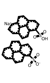 O=S(=O)(O)c1ccc2ccc3cccc4ccc1c2c34.O=S(=O)([O-])c1ccc2ccc3cccc4ccc1c2c34.[Na+]